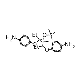 CCC(Oc1ccc(N)cc1)[Si](C)(O[Si](C)(C)C)C(CC)Oc1ccc(N)cc1